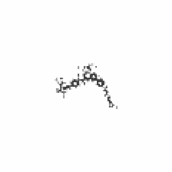 CCCCOCCOc1ccc(-c2ccc3c(c2)C=C(C(=O)Nc2ccc(SCc4n[nH]c(=O)n4CCC)cc2)CCN3CC(C)C)cc1